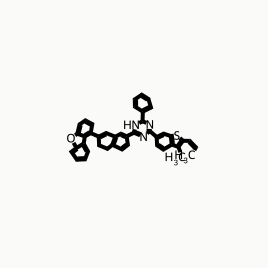 C/C=C\c1sc2cc(C3=NC(c4ccccc4)NC(c4ccc5c(c4)C=C(c4cccc6oc7ccccc7c46)CC5)=N3)ccc2c1C